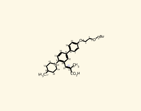 CCCCOCCOc1ccc(-c2ccc(N3CCC(C)CC3)c(/C=C(\C)C(=O)O)c2)cc1